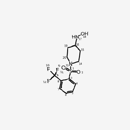 O=S(=O)(c1ccccc1C(F)(F)F)N1CCC(NO)CC1